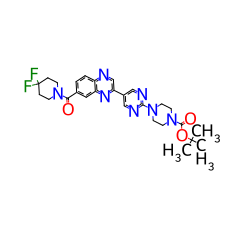 CC(C)(C)OC(=O)N1CCN(c2ncc(-c3cnc4ccc(C(=O)N5CCC(F)(F)CC5)cc4n3)cn2)CC1